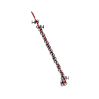 CCCCCCCCCCCCCCCC(=O)NCCCCCC(=O)NCCOCCOCCOCCOCCOCCOCCOCCOCCOCCOCCOCCOCCOCCOCCOCCOCCOCCOCCOCCOCCOCCOCCOCCOCCC(=O)NCCCC[C@@H](C)NC(=O)[C@@H](NC(C)=O)[C@@H](C)CC